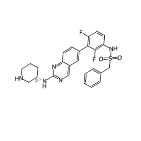 O=S(=O)(Cc1ccccc1)Nc1ccc(F)c(-c2ccc3nc(N[C@H]4CCCNC4)ncc3c2)c1F